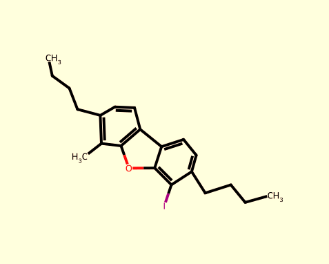 CCCCc1ccc2c(oc3c(I)c(CCCC)ccc32)c1C